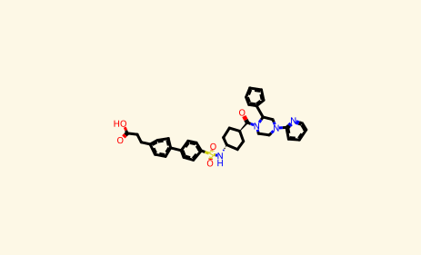 O=C(O)CCc1ccc(-c2ccc(S(=O)(=O)N[C@H]3CC[C@H](C(=O)N4CCN(c5ccccn5)CC4c4ccccc4)CC3)cc2)cc1